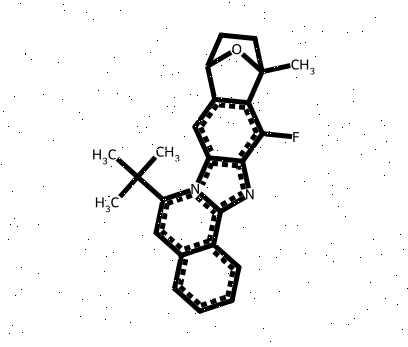 CC(C)(C)c1cc2ccccc2c2nc3c(F)c4c(cc3n12)C1CCC4(C)O1